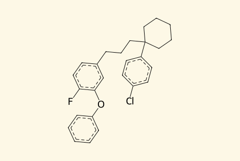 Fc1ccc(CCCC2(c3ccc(Cl)cc3)CCCCC2)cc1Oc1ccccc1